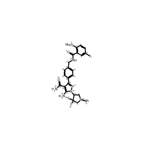 COc1ccc(F)cc1C(=O)NCc1ccc(-c2nn(C3CN(C(C)C)CC3(F)F)c(N)c2C(N)=O)cc1